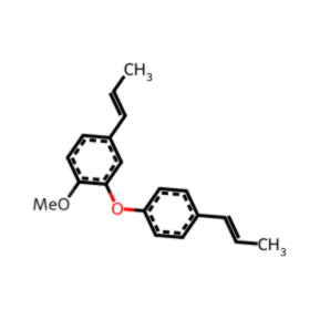 C/C=C/c1ccc(Oc2cc(/C=C/C)ccc2OC)cc1